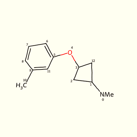 CNC1CC(Oc2cccc(C)c2)C1